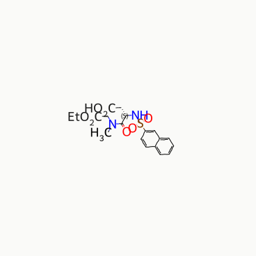 CCOC(=O)CN(C)C(=O)[C@H](CC(=O)O)NS(=O)(=O)c1ccc2ccccc2c1